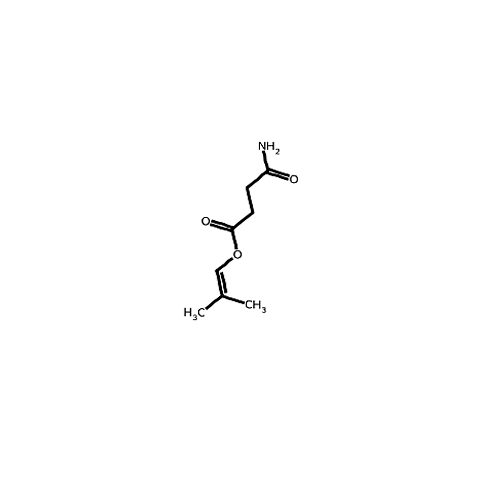 CC(C)=COC(=O)CCC(N)=O